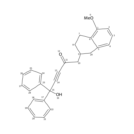 COc1cccc2c1CCC(CC(=O)C#CC(O)(c1ccccc1)c1ccccc1)C2